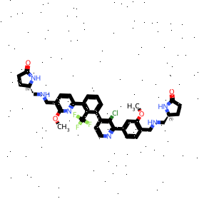 COc1cc(-c2nccc(-c3cccc(-c4ccc(CNC[C@@H]5CCC(=O)N5)c(OC)n4)c3C(F)(F)F)c2Cl)ccc1CNC[C@@H]1CCC(=O)N1